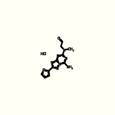 CN(CC=O)c1nc(N)n2nc(-c3ccco3)nc2n1.Cl